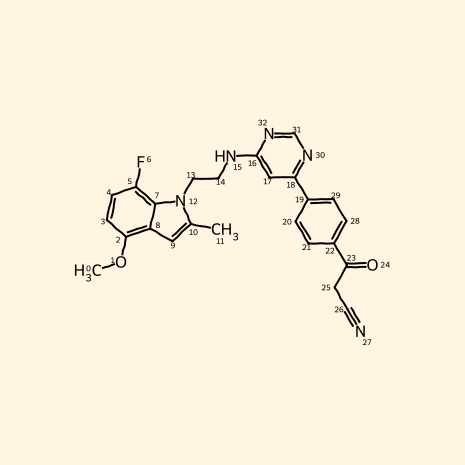 COc1ccc(F)c2c1cc(C)n2CCNc1cc(-c2ccc(C(=O)CC#N)cc2)ncn1